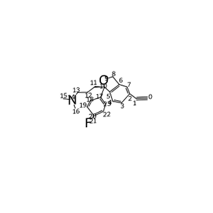 C#Cc1ccc2c(c1)CO[C@@]2(CCCN(C)C)c1ccc(F)cc1